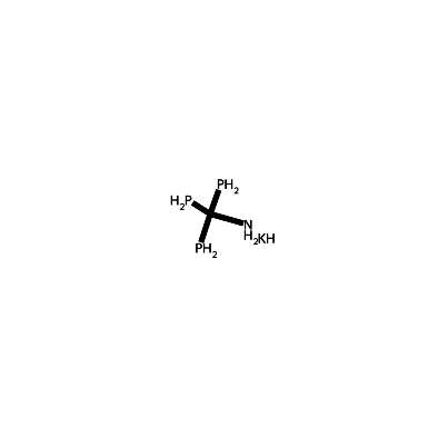 NC(P)(P)P.[KH]